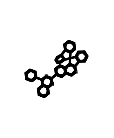 c1ccc(-c2nc(-c3ccc4c5c(ncc4c3)-c3ccccc3C53c4ccccc4-c4ccccc43)nc3ccccc23)cc1